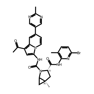 CC(=O)c1cc(NC(=O)N2C3C[C@]3(C)C[C@H]2C(=O)Nc2nc(Br)ccc2C)n2ccc(-c3cnc(C)nc3)cc12